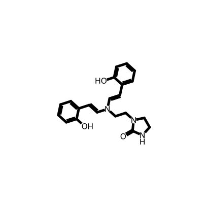 O=C1NCCN1CCN(/C=C/c1ccccc1O)/C=C/c1ccccc1O